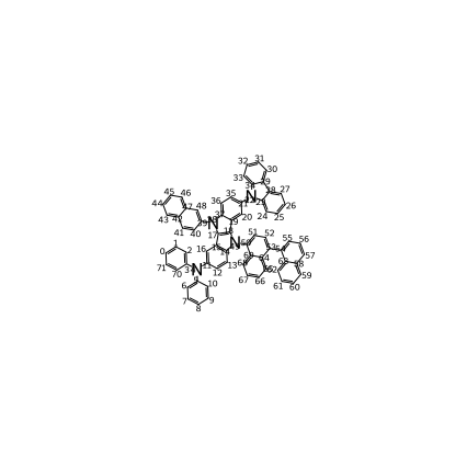 c1ccc(N(c2ccccc2)c2ccc3c(c2)c2c(c4cc(-n5c6ccccc6c6ccccc65)ccc4n2-c2ccc4ccccc4c2)n3-c2ccc(-c3cccc4ccccc34)c3ccccc23)cc1